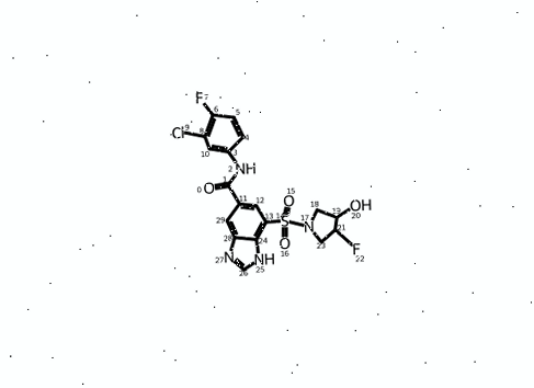 O=C(Nc1ccc(F)c(Cl)c1)c1cc(S(=O)(=O)N2CC(O)C(F)C2)c2[nH]cnc2c1